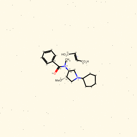 CO[C@H]1CN(C2CCCCC2)C[C@@H]1N(C)C(=O)c1ccccc1.O=C(O)/C=C/C(=O)O